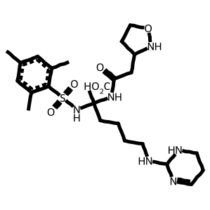 Cc1cc(C)c(S(=O)(=O)NC(CCCCNC2N=CCCN2)(NC(=O)CC2CCON2)C(=O)O)c(C)c1